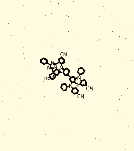 CCCCc1ccc2c(c1)c1cc(-c3cc4c5c(c3)N(c3ccccc3)c3ccc(C#N)cc3B5c3cc(C#N)ccc3N4c3ccccc3)ccc1n2-c1ccc(C#N)cc1-c1nc(-c2ccccc2)nc(-c2ccccc2)n1